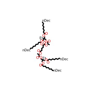 CCCCCCCCCCCCCCCCCC(=O)OCC(CC)(COC(=O)CCCCCCCCCCCCCCCCC)COC(=O)C(C)OC(=O)CCCCC(=O)OC(C)C(=O)OCC(CC)(COC(=O)CCCCCCCCCCCCCCCCC)COC(=O)CCCCCCCCCCCCCCCCC